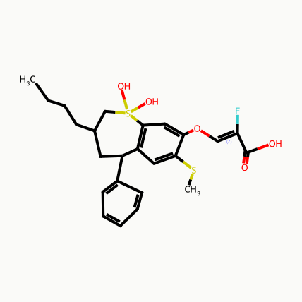 CCCCC1CC(c2ccccc2)c2cc(SC)c(O/C=C(\F)C(=O)O)cc2S(O)(O)C1